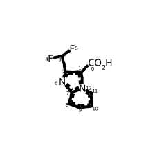 O=C(O)c1c(C(F)F)nc2ccccn12